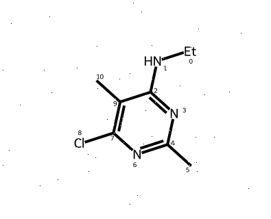 CCNc1nc(C)nc(Cl)c1C